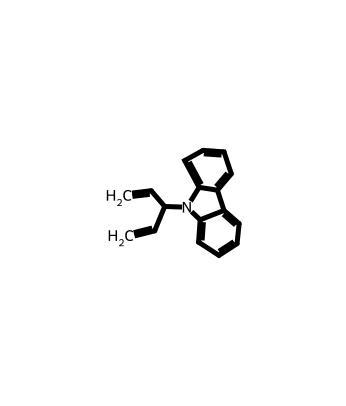 C=CC(C=C)n1c2ccccc2c2ccccc21